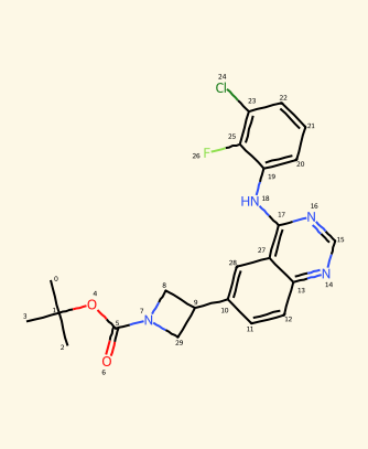 CC(C)(C)OC(=O)N1CC(c2ccc3ncnc(Nc4cccc(Cl)c4F)c3c2)C1